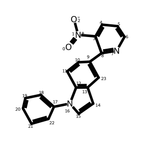 O=[N+]([O-])c1cccnc1-c1ccc2c(ccn2-c2ccccc2)c1